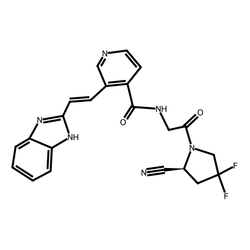 N#C[C@@H]1CC(F)(F)CN1C(=O)CNC(=O)c1ccncc1/C=C/c1nc2ccccc2[nH]1